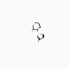 Cc1ccn(C2CCCCC2N)c1